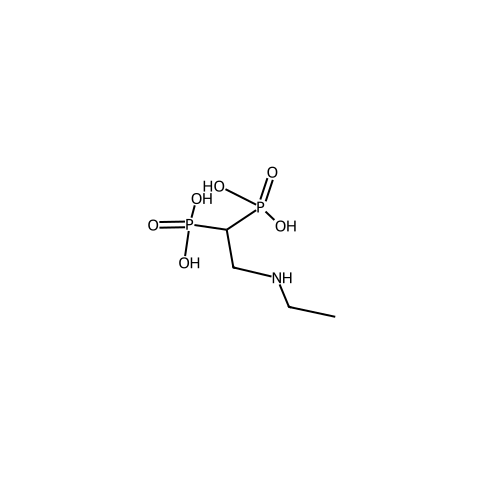 CCNCC(P(=O)(O)O)P(=O)(O)O